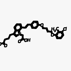 Cc1c(Cl)cccc1OCCCCOc1ccc(/C=C/c2cccc3c(CCCC(=O)O)cn(CC(=O)O)c23)cc1